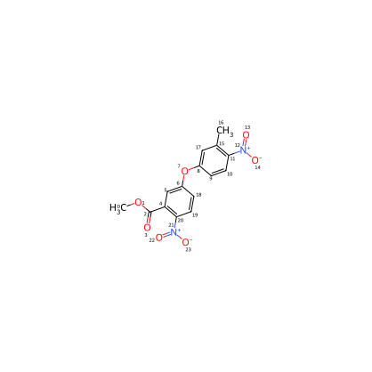 COC(=O)c1cc(Oc2ccc([N+](=O)[O-])c(C)c2)ccc1[N+](=O)[O-]